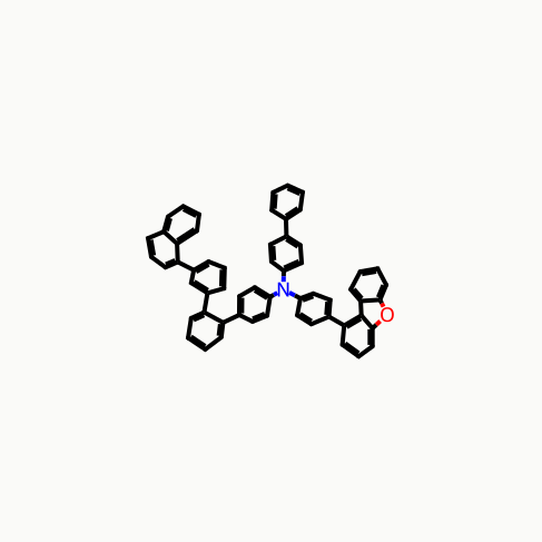 c1ccc(-c2ccc(N(c3ccc(-c4ccccc4-c4cccc(-c5cccc6ccccc56)c4)cc3)c3ccc(-c4cccc5oc6ccccc6c45)cc3)cc2)cc1